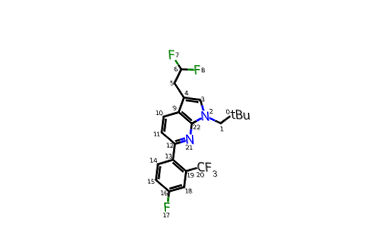 CC(C)(C)Cn1cc(CC(F)F)c2ccc(-c3ccc(F)cc3C(F)(F)F)nc21